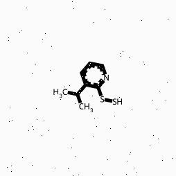 CC(C)c1cccnc1SS